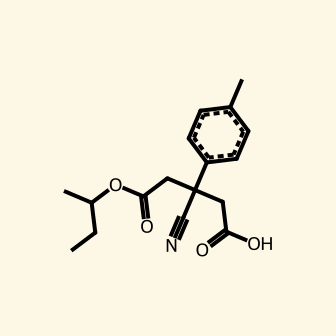 CCC(C)OC(=O)CC(C#N)(CC(=O)O)c1ccc(C)cc1